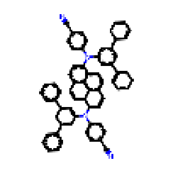 N#Cc1ccc(N(c2cc(C3=CC=CCC3)cc(C3C=CC=CC3)c2)c2ccc3c4c5c(ccc24)C=CC(N(C2=CC(c4ccccc4)CC(c4ccccc4)=C2)c2ccc(C#N)cc2)C5C=C3)cc1